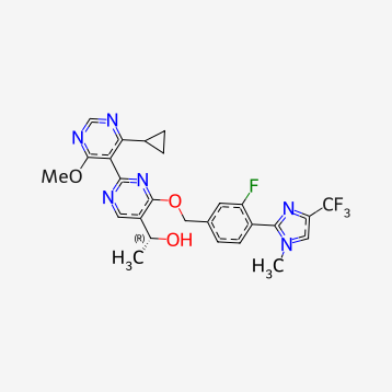 COc1ncnc(C2CC2)c1-c1ncc([C@@H](C)O)c(OCc2ccc(-c3nc(C(F)(F)F)cn3C)c(F)c2)n1